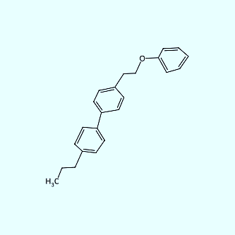 CCCc1ccc(-c2ccc(CCOc3ccccc3)cc2)cc1